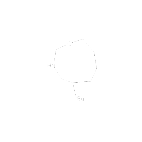 CC(C)(C)C1CCCCCCNC1